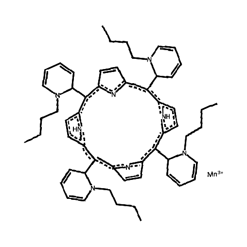 CCCCN1C=CC=CC1c1c2nc(c(C3C=CC=CN3CCCC)c3ccc([nH]3)c(C3C=CC=CN3CCCC)c3nc(c(C4C=CC=CN4CCCC)c4ccc1[nH]4)C=C3)C=C2.[Mn+3]